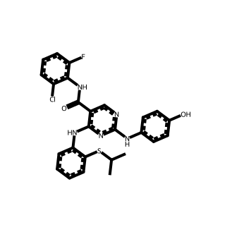 CC(C)Sc1ccccc1Nc1nc(Nc2ccc(O)cc2)ncc1C(=O)Nc1c(F)cccc1Cl